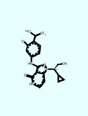 N#CC[C@@H](C1CC1)n1nc(Nc2ccc(C(O)C(F)(F)F)c(Cl)c2)c2c(=O)[nH]ccc21